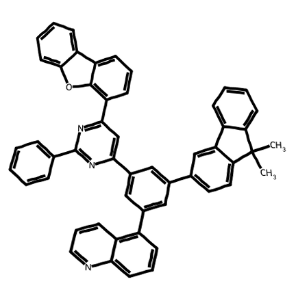 CC1(C)c2ccccc2-c2cc(-c3cc(-c4cc(-c5cccc6c5oc5ccccc56)nc(-c5ccccc5)n4)cc(-c4cccc5ncccc45)c3)ccc21